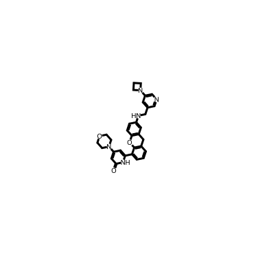 O=c1cc(N2CCOCC2)cc(-c2cccc3c2Oc2ccc(NCc4cncc(N5CCC5)c4)cc2C3)[nH]1